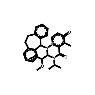 COC(OC)C1N(C(C)C)C(=O)c2c(C)c(=O)ccn2N1C1c2ccccc2CCc2ccccc21